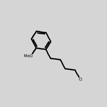 COc1ccccc1CCCCCl